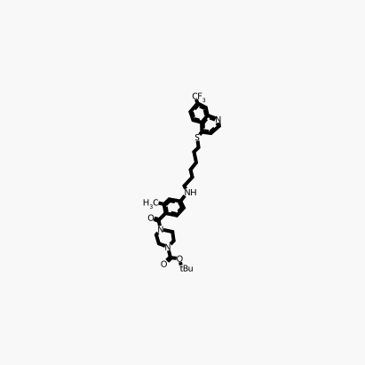 Cc1cc(NCCCCCCSc2ccnc3cc(C(F)(F)F)ccc23)ccc1C(=O)N1CCN(C(=O)OC(C)(C)C)CC1